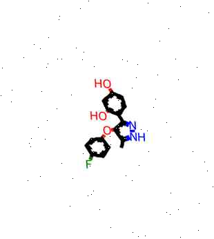 Cc1[nH]nc(-c2ccc(O)cc2O)c1Oc1ccc(F)cc1